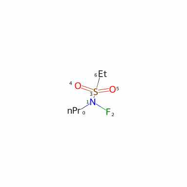 CCCN(F)S(=O)(=O)CC